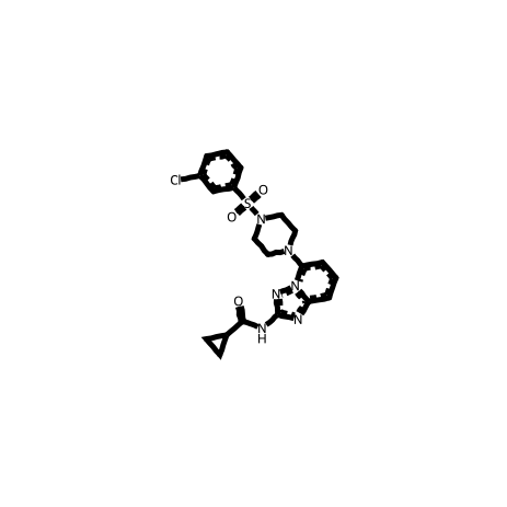 O=C(Nc1nc2cccc(N3CCN(S(=O)(=O)c4cccc(Cl)c4)CC3)n2n1)C1CC1